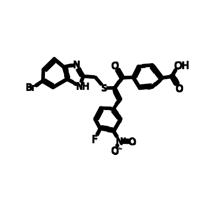 O=C(O)c1ccc(C(=O)C(=Cc2ccc(F)c([N+](=O)[O-])c2)SCc2nc3ccc(Br)cc3[nH]2)cc1